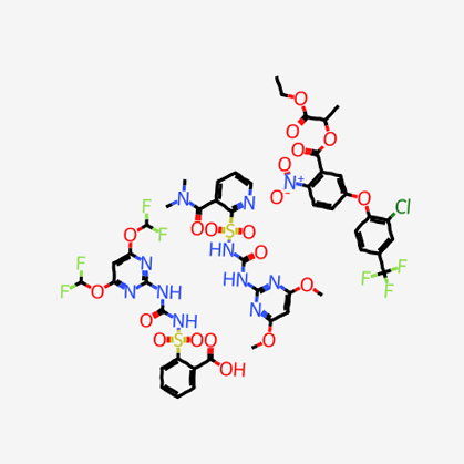 CCOC(=O)C(C)OC(=O)c1cc(Oc2ccc(C(F)(F)F)cc2Cl)ccc1[N+](=O)[O-].COc1cc(OC)nc(NC(=O)NS(=O)(=O)c2ncccc2C(=O)N(C)C)n1.O=C(Nc1nc(OC(F)F)cc(OC(F)F)n1)NS(=O)(=O)c1ccccc1C(=O)O